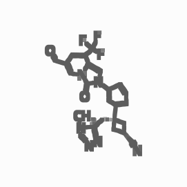 Cn1cnnc1C[C@]1(c2cccc(-n3cc4c(C(F)(F)F)cc(C=O)cn4c3=O)c2)C[C@@H](C#N)C1